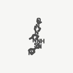 Cc1cc(N2CCN(C3COC3)CC2)cc(Nc2ncc(-c3ccncc3)s2)n1